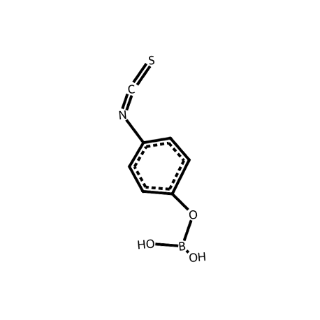 OB(O)Oc1ccc(N=C=S)cc1